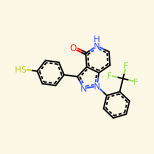 O=c1[nH]ccc2c1c(-c1ccc(S)cc1)nn2-c1ccccc1C(F)(F)F